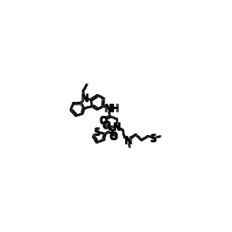 CCn1c2ccccc2c2cc(NC(=O)CN(CCN(C)CCCSC)S(=O)(=O)c3cccs3)ccc21